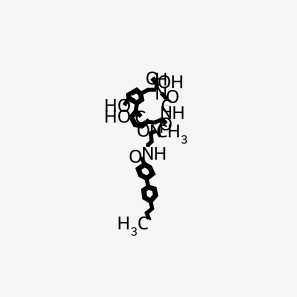 CCCCc1ccc(-c2ccc(C(=O)NCCC(=O)N(C)C3C(=O)NCC(=O)NC(C(=O)O)Cc4ccc(O)c(c4)-c4cc3ccc4O)cc2)cc1